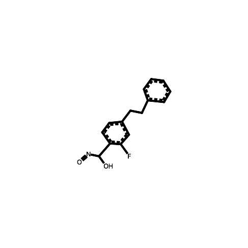 O=NC(O)c1ccc(CCc2ccccc2)cc1F